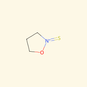 S=[N+]1CCCO1